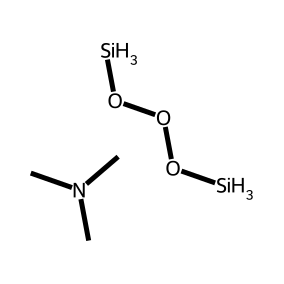 CN(C)C.[SiH3]OOO[SiH3]